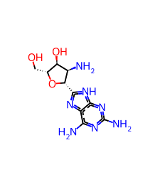 Nc1nc(N)c2nc([C@@H]3O[C@H](CO)[C@@H](O)[C@H]3N)[nH]c2n1